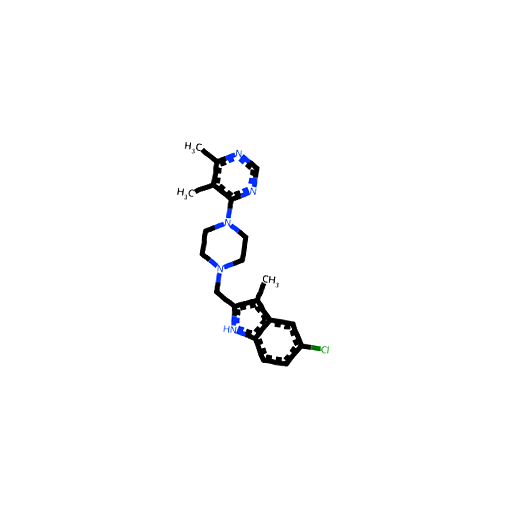 Cc1ncnc(N2CCN(Cc3[nH]c4ccc(Cl)cc4c3C)CC2)c1C